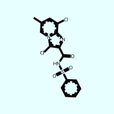 Cc1cc(Cl)c2nc(C(=O)NS(=O)(=O)c3ccccc3)c(Cl)n2c1